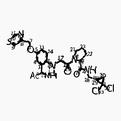 CC(=O)C(=N)c1cc(OCc2cscn2)ccc1NCC(=O)N1CCC[C@H]1C(=O)NC[C@H]1CC1(Cl)Cl